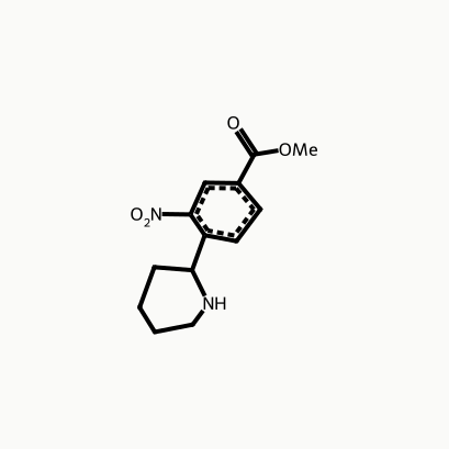 COC(=O)c1ccc(C2CCCCN2)c([N+](=O)[O-])c1